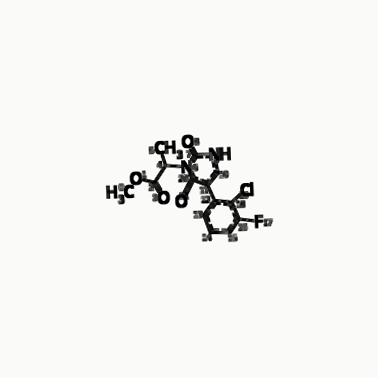 COC(=O)C(C)n1c(=O)[nH]cc(-c2cccc(F)c2Cl)c1=O